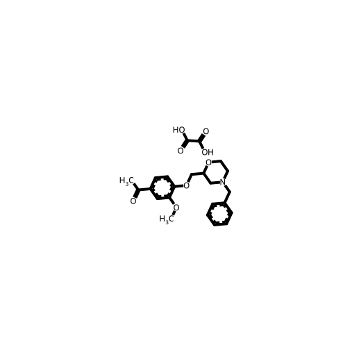 COc1cc(C(C)=O)ccc1OCC1CN(Cc2ccccc2)CCO1.O=C(O)C(=O)O